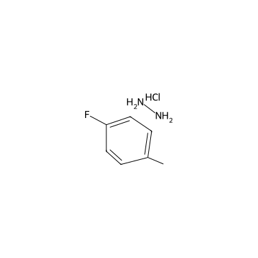 Cc1ccc(F)cc1.Cl.NN